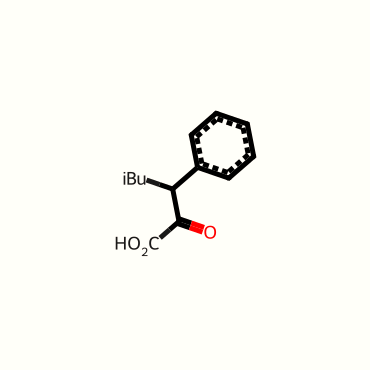 CCC(C)C(C(=O)C(=O)O)c1ccccc1